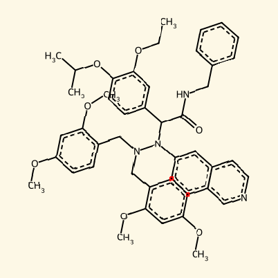 CCOc1cc(C(C(=O)NCc2ccccc2)N(c2ccc3cnccc3c2)N(Cc2ccc(OC)cc2OC)Cc2ccc(OC)cc2OC)ccc1OC(C)C